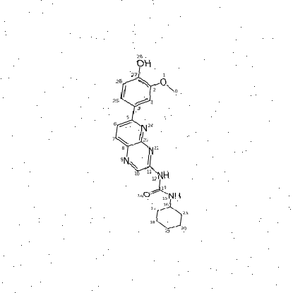 COc1cc(-c2ccc3ncc(NC(=O)NC4CCCCC4)nc3n2)ccc1O